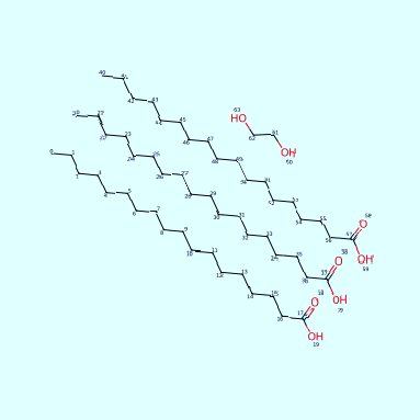 CCCCCCCCCCCCCCCCCC(=O)O.CCCCCCCCCCCCCCCCCC(=O)O.CCCCCCCCCCCCCCCCCC(=O)O.OCCO